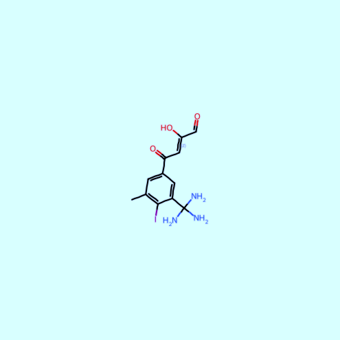 Cc1cc(C(=O)/C=C(\O)C=O)cc(C(N)(N)N)c1I